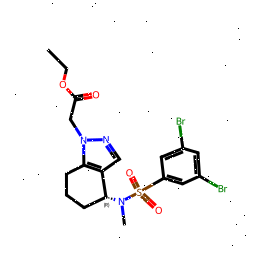 CCOC(=O)Cn1ncc2c1CCC[C@H]2N(C)S(=O)(=O)c1cc(Br)cc(Br)c1